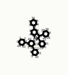 c1ccc(-c2cc(-c3ccccc3)cc(-n3c(-c4ccccc4)c(-c4ccccc4)c4cc(-c5ccccc5)ccc43)c2)cc1